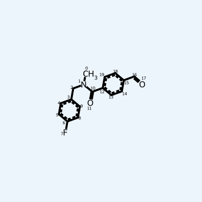 CN(Cc1ccc(F)cc1)C(=O)c1ccc(C=O)cc1